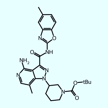 Cc1ccc2oc(NC(=O)c3nn(C4CCCN(C(=O)OC(C)(C)C)C4)c4c(C)cnc(N)c34)nc2c1